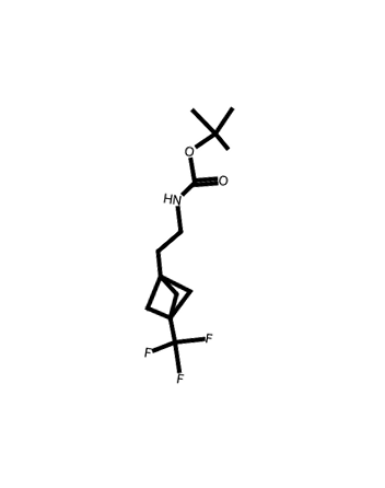 CC(C)(C)OC(=O)NCCC12CC(C(F)(F)F)(C1)C2